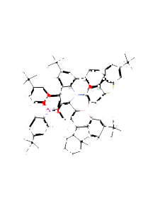 CC(C)(C)c1ccc(N(c2ccc(C(C)(C)C)cc2)c2cc3c4c(c2)N(c2c(-c5ccccc5)cc(C(C)(C)C)cc2-c2ccccc2)c2cc5c(cc2B4c2cc(C(C)(C)C)cc4c2C3[C@@]2(C)CCCCC42C)sc2cc(C(C)(C)C)ccc25)cc1